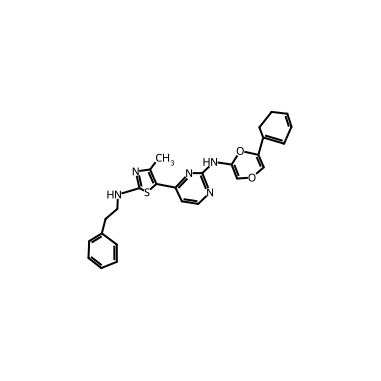 Cc1nc(NCCc2ccccc2)sc1-c1ccnc(NC2=COC=C(C3=CC=CCC3)O2)n1